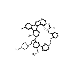 COc1ccccc1-c1nccc(COc2ccccc2C[C@@H](Oc2ncnn3cc4c5ccc(F)cc5c5c(Cl)c(OCCN6CCN(C)CC6)ccc5c4c23)C(=O)O)n1